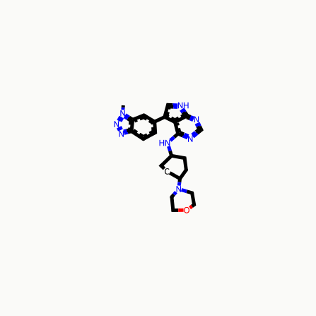 Cn1nnc2ccc(-c3c[nH]c4ncnc(NC5CCC(N6CCOCC6)CC5)c34)cc21